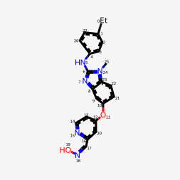 CCc1ccc(Nc2nc3cc(Oc4ccnc(/C=N\O)c4)ccc3n2C)cc1